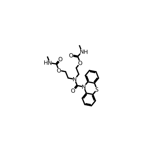 CNC(=O)OCCN(CCOC(=O)NC)C(=O)N1c2ccccc2Sc2ccccc21